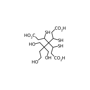 O=C(O)CC(S)C(C(S)CC(=O)O)(C(S)CC(=O)O)C(CO)(CO)CCO